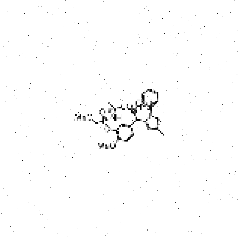 COCP(=O)(N[C@@H](C)C(=O)O)Oc1cc(C(OC(=O)O)c2cc(C)nn2-c2ccccc2)ccc1OC